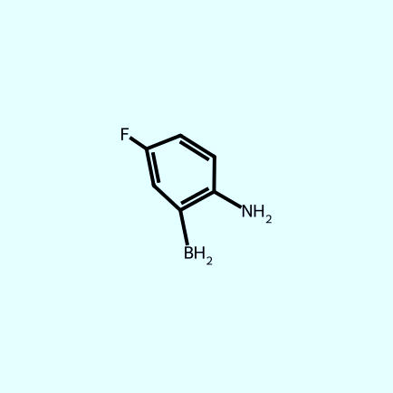 Bc1cc(F)ccc1N